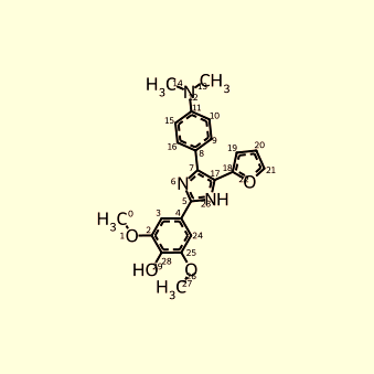 COc1cc(-c2nc(-c3ccc(N(C)C)cc3)c(-c3ccco3)[nH]2)cc(OC)c1O